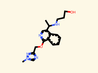 CC(NCCCO)c1cnc(OCc2ncn(C)n2)c2ccccc12